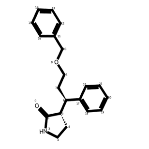 O=C1NCC[C@H]1[C@@H](CCOCc1ccccc1)c1ccccc1